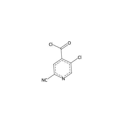 N#Cc1cc(C(=O)Cl)c(Cl)cn1